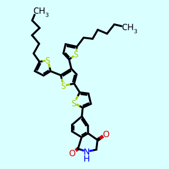 CCCCCCc1ccc(-c2cc(-c3ccc(-c4ccc5c(c4)C(=O)CNC5=O)s3)sc2-c2ccc(CCCCCC)s2)s1